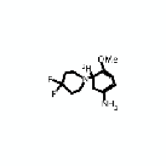 [2H]C1(N2CCC(F)(F)CC2)CC(N)=CC=C1OC